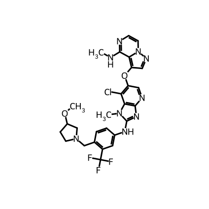 CNc1nccn2ncc(Oc3cnc4nc(Nc5ccc(CN6CCC(OC)C6)c(C(F)(F)F)c5)n(C)c4c3Cl)c12